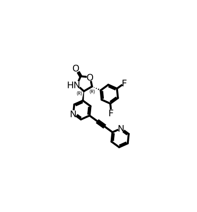 O=C1N[C@H](c2cncc(C#Cc3ccccn3)c2)[C@@H](c2cc(F)cc(F)c2)O1